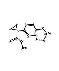 CC(C)(C)OC(=O)C1(c2ccc3c(c2)CCNC3)CC1